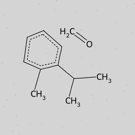 C=O.Cc1ccccc1C(C)C